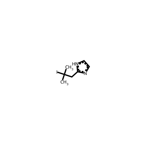 CC(C)(I)Cc1ncc[nH]1